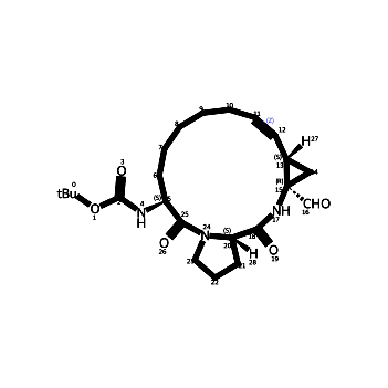 CC(C)(C)OC(=O)N[C@H]1CCCCC/C=C\[C@@H]2C[C@@]2(C=O)NC(=O)[C@@H]2CCCN2C1=O